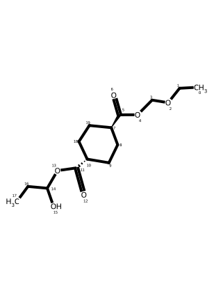 CCOCOC(=O)[C@H]1CC[C@H](C(=O)OC(O)CC)CC1